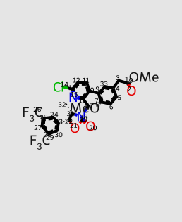 COC(=O)Cc1ccc(OC)c(-c2ccc(Cl)nc2CN2C(=O)O[C@H](c3cc(C(F)(F)F)cc(C(F)(F)F)c3)[C@@H]2C)c1